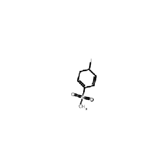 CS(=O)(=O)C1=CCC(I)C=C1